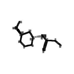 CCC(=O)N[C@@H]1CCC[C@@H](OC)C1